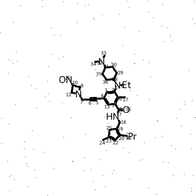 CCN(c1cc(C#CCN2CC(N=O)C2)cc(C(=O)NCC2=C(C(C)C)C=C(C)C2)c1C)C1CCC(N(C)C)CC1